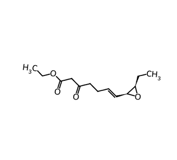 CCOC(=O)CC(=O)CCC=C[C@@H]1O[C@@H]1CC